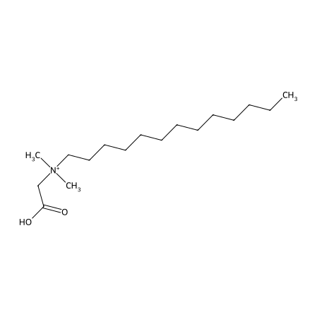 CCCCCCCCCCCCC[N+](C)(C)CC(=O)O